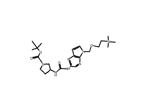 CC(C)(C)OC(=O)N1CCC(NC(=O)Nc2cnc3c(ccn3COCC[Si](C)(C)C)n2)C1